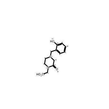 O=C(O)CN1CCN(Cc2ccccc2O)CC1=O